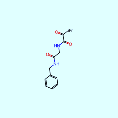 CC(C)C(=O)C(=O)NCC(=O)NCc1ccccc1